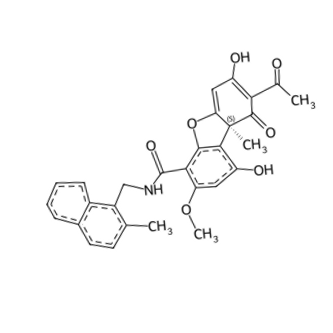 COc1cc(O)c2c(c1C(=O)NCc1c(C)ccc3ccccc13)OC1=CC(O)=C(C(C)=O)C(=O)[C@]12C